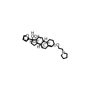 C[C@]12CC[C@H]3[C@@H](CCC4=C[C@@H](OCCN5CCCC5)CC[C@@]43C)[C@@]1(O)CC[C@]2(O)c1ccco1